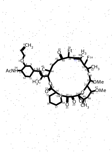 C=CCOC1CC(C=C(C)C2OC(=O)C3CCCCN3C(=O)C(=O)C3(O)OC(C(OC)CC(C)C(F)/C(C)=C/C(CC)C(=O)CCC2C)C(OC)CC3C)CCC1NC(C)=O